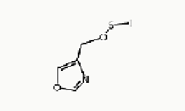 ISOCc1cocn1